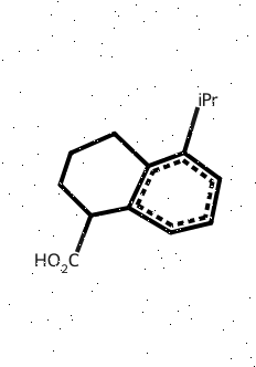 CC(C)c1cccc2c1CCCC2C(=O)O